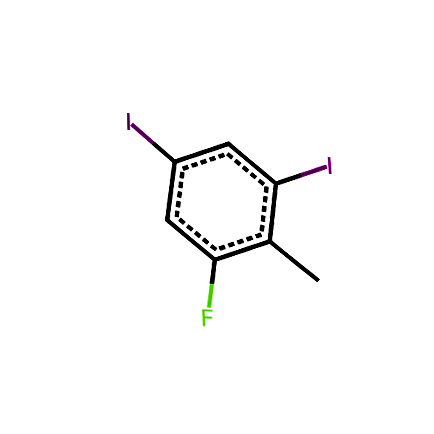 Cc1c(F)cc(I)cc1I